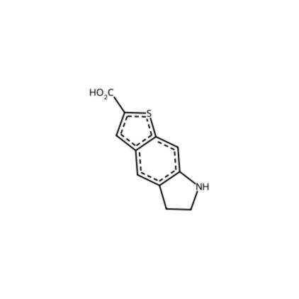 O=C(O)c1cc2cc3c(cc2s1)NCC3